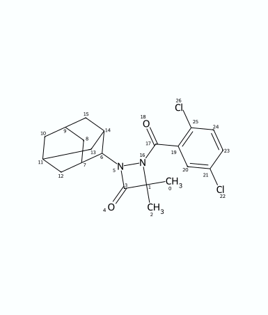 CC1(C)C(=O)N(C2C3CC4CC(C3)CC2C4)N1C(=O)c1cc(Cl)ccc1Cl